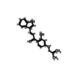 C=C(C)COc1ccc(C(=O)C=Cc2c[nH]c3ccccc23)c(O)c1